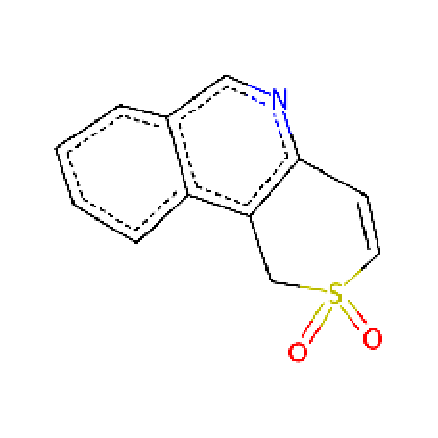 O=S1(=O)C=Cc2ncc3ccccc3c2C1